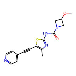 COC1CN(C(=O)Nc2nc(C)c(C#Cc3ccncc3)s2)C1